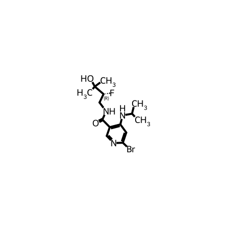 CC(C)Nc1cc(Br)ncc1C(=O)NC[C@@H](F)C(C)(C)O